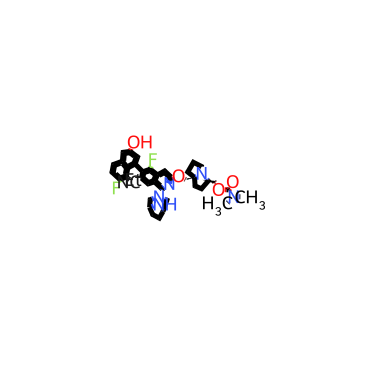 CCc1c(F)ccc2cc(O)cc(-c3c(C#N)cc4c(N5CC6CCC(C5)N6)nc(OC[C@]56CCCN5[C@@H](COC(=O)N(C)C)CC6)cc4c3F)c12